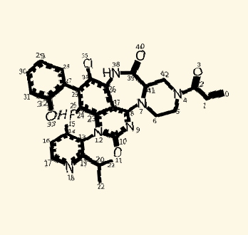 C=CC(=O)N1CCN2c3nc(=O)n(-c4c(C)ccnc4C(C)C)c4c(F)c(-c5ccccc5O)c(Cl)c(c34)NC(=O)C2C1